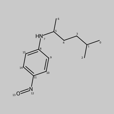 CC(C)CCC(C)Nc1ccc(N=O)cc1